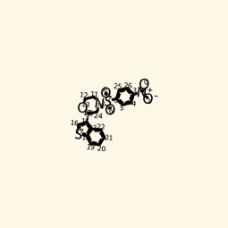 O=[N+]([O-])c1ccc(S(=O)(=O)N2CCO[C@H](c3csc4ccccc34)C2)cc1